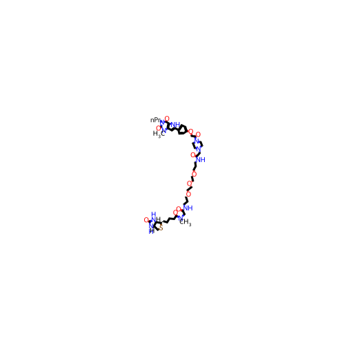 CCCn1c(=O)c2[nH]c(-c3ccc(OCC(=O)N4CCN(CC(=O)NCCCOCCOCCOCCCNC(=O)CN(C)C(=O)CCCC[C@@H]5SC[C@@H]6NC(=O)N[C@@H]65)CC4)cc3)cc2n(C)c1=O